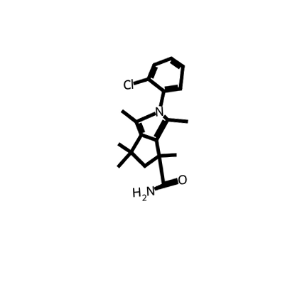 Cc1c2c(c(C)n1-c1ccccc1Cl)C(C)(C(N)=O)CC2(C)C